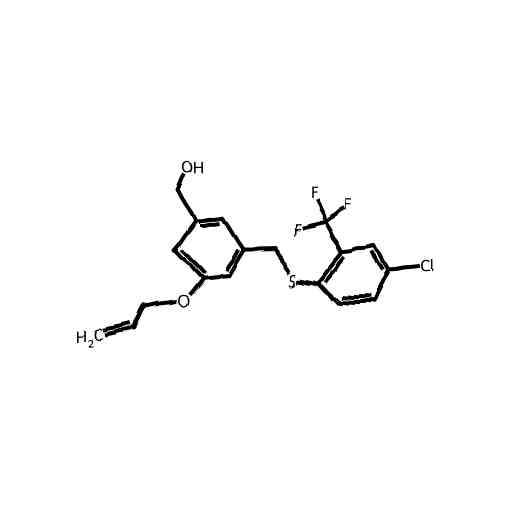 C=CCOc1cc(CO)cc(CSc2ccc(Cl)cc2C(F)(F)F)c1